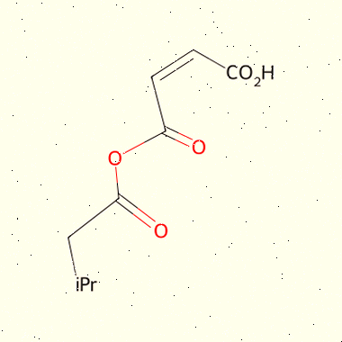 CC(C)CC(=O)OC(=O)/C=C\C(=O)O